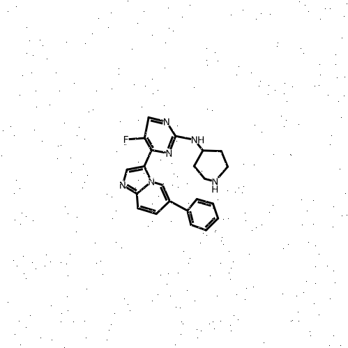 Fc1cnc(NC2CCNCC2)nc1-c1cnc2ccc(-c3ccccc3)cn12